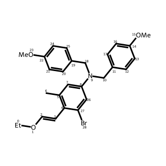 CCOC=Cc1c(C)cc(N(Cc2ccc(OC)cc2)Cc2ccc(OC)cc2)cc1Br